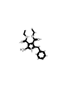 CCOC(=O)c1c(N)sc(Cc2ccccc2)c1C(=O)OCC